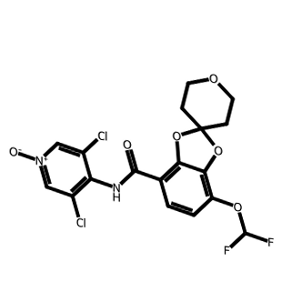 O=C(Nc1c(Cl)c[n+]([O-])cc1Cl)c1ccc(OC(F)F)c2c1OC1(CCOCC1)O2